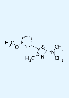 COc1cccc(-c2sc(N(C)C)nc2C)c1